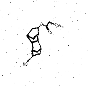 CCC(=O)OC1CC2CC1C1C3CC(O)C(C3)C21